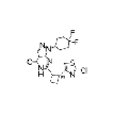 O=c1[nH]c(C2CC[C@H]2c2csc(Cl)n2)nc2c1cnn2C1CCC(F)(F)CC1